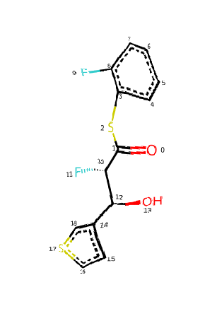 O=C(Sc1ccccc1F)[C@@H](F)[C@@H](O)c1ccsc1